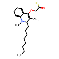 CCCCCCCCC1C(C)=C(OCC(=O)S)C2=CCCC=C2N1C